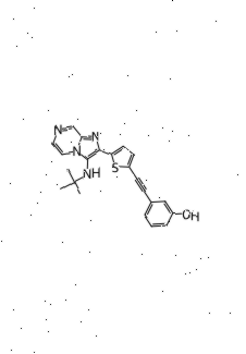 CC(C)(C)Nc1c(-c2ccc(C#Cc3cccc(O)c3)s2)nc2cnccn12